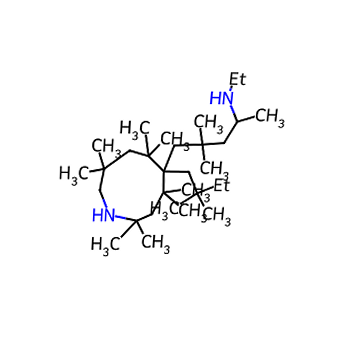 CCNC(C)CC(C)(C)CC1(CC(C)(C)CC)C(C)(C)CC(C)(C)CNC(C)(C)CC1(C)C